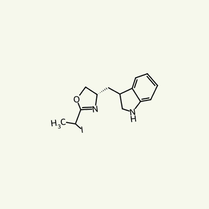 CC(I)C1=N[C@@H](CC2CNc3ccccc32)CO1